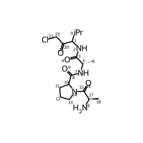 CC(C)C(NC(=O)[C@H](C)NC(=O)C1CCCN1C(=O)[C@@H](C)N)C(=O)CCl